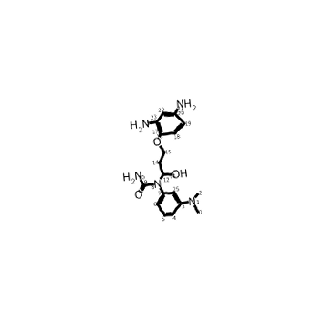 CN(C)c1cccc(N(C(N)=O)C(O)CCOc2ccc(N)cc2N)c1